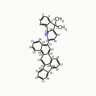 CC1(C)c2ccccc2-c2nc(-c3cc4c5cccc6c5c(cc4c4ccccc34)-c3ccccc3-6)ccc21